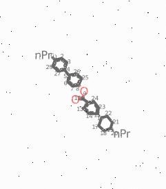 CCCc1ccc(-c2ccc(OC(=O)c3ccc([C@H]4CC[C@H](CCC)CC4)cc3)cc2)cc1